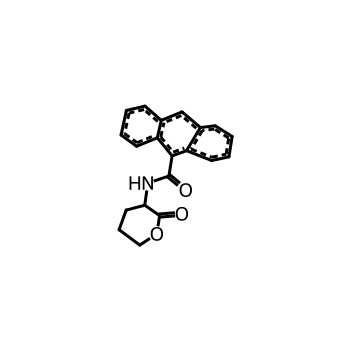 O=C(NC1CCCOC1=O)c1c2ccccc2cc2ccccc12